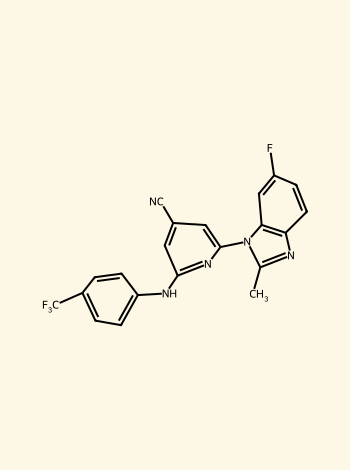 Cc1nc2ccc(F)cc2n1-c1cc(C#N)cc(Nc2ccc(C(F)(F)F)cc2)n1